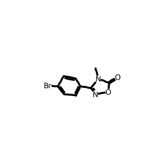 Cn1c(-c2ccc(Br)cc2)noc1=O